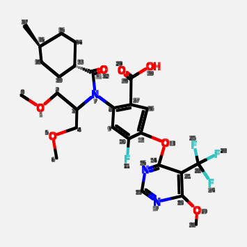 COCC(COC)N(c1cc(F)c(Oc2ncnc(OC)c2C(F)(F)F)cc1C(=O)O)C(=O)[C@H]1CC[C@H](C)CC1